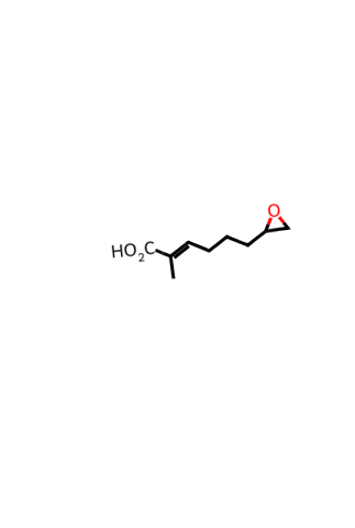 C/C(=C\CCCC1CO1)C(=O)O